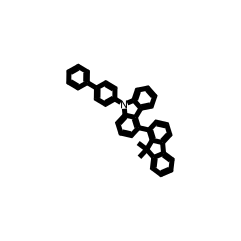 CC1(C)c2ccccc2-c2cccc(-c3cccc4c3c3ccccc3n4-c3ccc(-c4ccccc4)cc3)c21